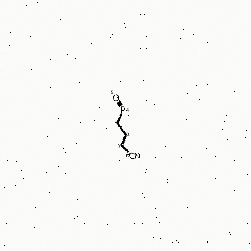 N#CCCCP=O